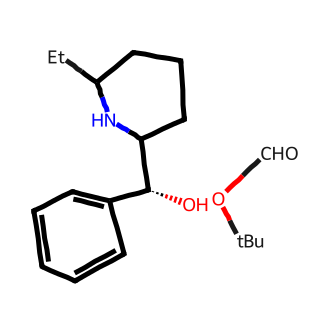 CC(C)(C)OC=O.CCC1CCCC([C@H](O)c2ccccc2)N1